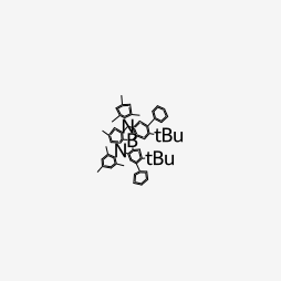 Cc1cc(C)c(N2c3cc(-c4ccccc4)c(C(C)(C)C)cc3B3c4cc(C(C)(C)C)c(-c5ccccc5)cc4N(c4c(C)cc(C)cc4C)c4cc(C)cc2c43)c(C)c1